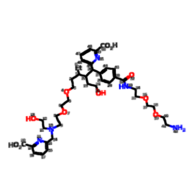 CCC(CCOCCOCCN(CCO)Cc1cccc(C(=O)O)n1)C(CCO)C(c1ccc(C(=O)NCCOCCOCCN)cc1)c1cccc(C(=O)O)n1